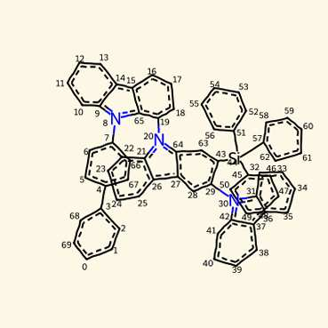 c1ccc(-c2ccc(-n3c4ccccc4c4cccc(-n5c6ccccc6c6cc(-n7c8ccccc8c8ccccc87)c([Si](c7ccccc7)(c7ccccc7)c7ccccc7)cc65)c43)cc2)cc1